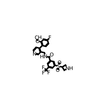 COc1cc(F)ccc1-c1ccncc1CNC(=O)c1cc(C(F)(F)F)cc(S(=O)(=O)C2CNC2)c1